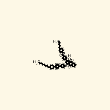 CCCCCCCCC1CCC(c2ccc(-c3ccc(Sc4cc(-c5ccc(C(=O)OC6CCC(CCCCC)CC6)cc5)c(O)c5c4C(=O)c4ccccc4C5=O)cc3)cc2)CC1